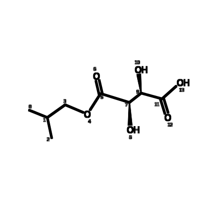 CC(C)COC(=O)[C@H](O)[C@@H](O)C(=O)O